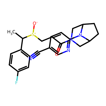 CC(c1ccc(F)cc1)[S+]([O-])CCC(=O)N1CC2CCC(C1)N2c1ccc(C#N)cn1